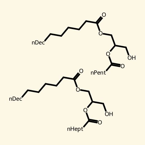 CCCCCCCCCCCCCCCC(=O)OCC(CO)OC(=O)CCCCC.CCCCCCCCCCCCCCCC(=O)OCC(CO)OC(=O)CCCCCCC